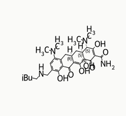 CCC(C)CNCc1cc(N(C)C)c2c(c1O)C(=O)C1=C(O)[C@]3(O)C(=O)C(C(N)=O)=C(O)[C@@H](N(C)C)[C@@H]3C[C@@H]1C2